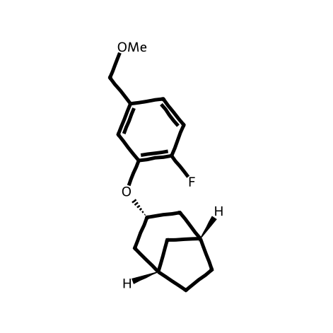 COCc1ccc(F)c(O[C@@H]2C[C@@H]3CC[C@@H](C3)C2)c1